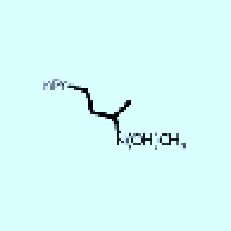 CCCCCC(C)N(C)O